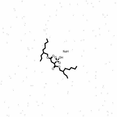 CCCCCC(CCC)COC(=O)CC(C(=O)OCC(CCC)CCCCC)S(=O)(=O)O.[NaH]